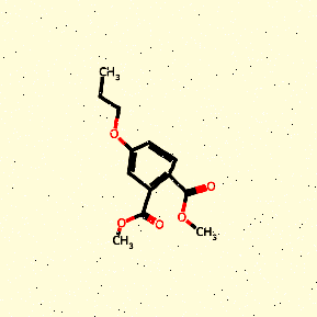 CCCOc1ccc(C(=O)OC)c(C(=O)OC)c1